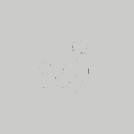 COc1cc2ncc3c(c2c(O)c1-c1cnn(C)c1)n(C1CCc2ccccc21)c(=O)n3C